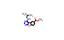 COC(=O)c1ccc2oc3ncnc(NCC(C)C)c3c2c1